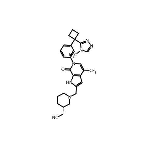 Cn1cnnc1C1(c2cccc(-n3cc(C(F)(F)F)c4cc(CN5CCC[C@@H](CC#N)C5)[nH]c4c3=O)c2)CCC1